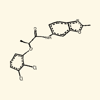 Cc1nc2ccc(NC(=O)[C@H](C)Oc3cccc(Cl)c3Cl)cc2o1